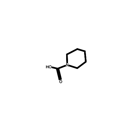 O=C(O)N1C[CH]CCC1